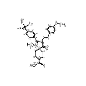 COc1ccc(CCN2C(=O)C3(CCN(C(=O)O)CC3)N(C)C2c2ccc(C(F)(F)F)cc2)cc1